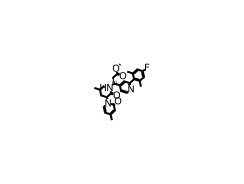 COC(=O)C[C@H](NC(=O)C(CC(C)C)n1ccc(C)cc1=O)c1ccnc(-c2c(C)cc(F)cc2C)c1